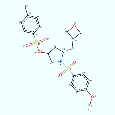 CCOc1ccc(S(=O)(=O)N2C[C@@H](OS(=O)(=O)c3ccc(C)cc3)C[C@@H]2CC2COC2)cc1